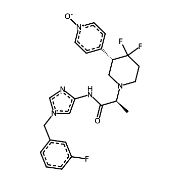 C[C@@H](C(=O)Nc1cn(Cc2cccc(F)c2)cn1)N1CCC(F)(F)[C@@H](c2cc[n+]([O-])cc2)C1